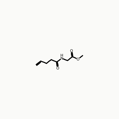 C=CCCC(=O)NCC(=O)OC